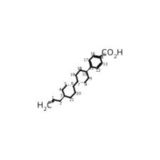 C=CC[C@H]1CC[C@H]([C@H]2CC[C@H](c3ccc(C(=O)O)cc3)CC2)CC1